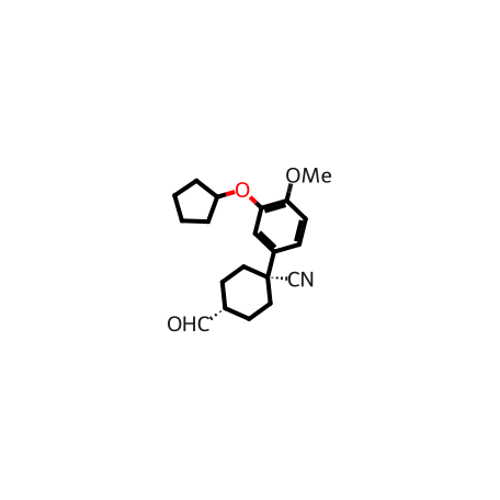 COc1ccc([C@]2(C#N)CC[C@@H](C=O)CC2)cc1OC1CCCC1